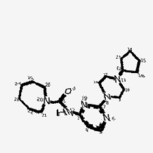 O=C(Nc1ccnc(N2CCN(C3CCCC3)CC2)n1)N1CCCCCC1